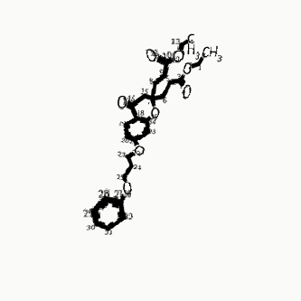 CCOC(=O)CCC1(CCC(=O)OCC)CC(=O)c2ccc(OCCCOc3ccccc3)cc2O1